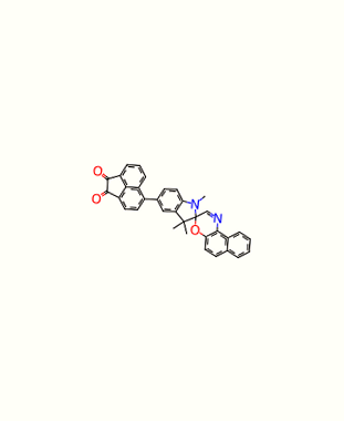 CN1c2ccc(-c3ccc4c5c(cccc35)C(=O)C4=O)cc2C(C)(C)C12C=Nc1c(ccc3ccccc13)O2